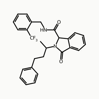 CC(CCc1ccccc1)N1C(=O)c2ccccc2C1C(=O)NCc1ccccc1C(F)(F)F